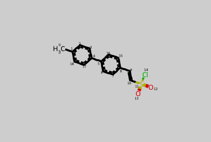 Cc1ccc(-c2ccc(/C=C/S(=O)(=O)Cl)cc2)cc1